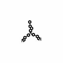 c1ccc(-c2ccc3c(ccc4cc(N(c5ccc(-c6ccc7cnccc7c6)cc5)c5ccc(-c6ccc7cnccc7c6)cc5)ccc43)c2)cc1